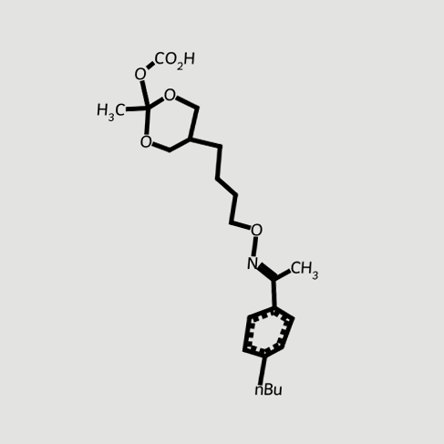 CCCCc1ccc(C(C)=NOCCCCC2COC(C)(OC(=O)O)OC2)cc1